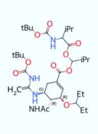 C=C(NC(=O)OC(C)(C)C)N[C@H]1CC(C(=O)OC(OC(=O)C(NC(=O)OC(C)(C)C)C(C)C)C(C)C)=C[C@@H](OC(CC)CC)[C@@H]1NC(C)=O